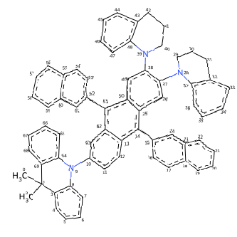 CC1(C)c2ccccc2N(c2ccc3c(-c4ccc5ccccc5c4)c4cc(N5CCCc6ccccc65)c(N5CCCc6ccccc65)cc4c(-c4ccc5ccccc5c4)c3c2)c2ccccc21